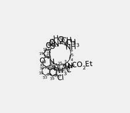 CCOC(=O)N(C)[C@@H]1C=CCNC(C)(C)C(=O)NS(=O)(=O)c2ccc3c(c2)N(C[C@@H]2CC[C@H]21)C[C@@]1(CCCc2cc(Cl)ccc21)CO3